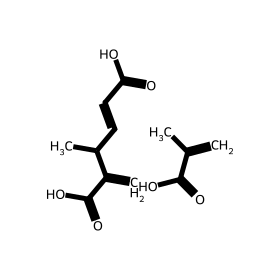 C=C(C(=O)O)C(C)C=CC(=O)O.C=C(C)C(=O)O